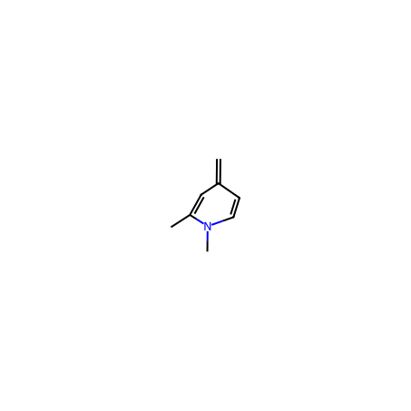 C=C1C=CN(C)C(C)=C1